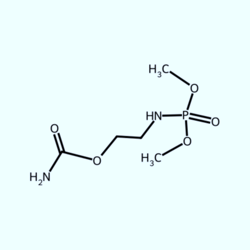 COP(=O)(NCCOC(N)=O)OC